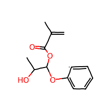 C=C(C)C(=O)OC(Oc1[c]cccc1)C(C)O